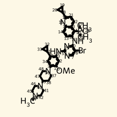 COc1cc(Nc2ncc(Br)c(Nc3ccc4nc(C5CC5)ccc4c3P(C)(C)=O)n2)c(C2CC2)cc1N1CCC(N2CCN(C)CC2)CC1